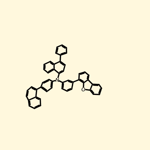 c1ccc(-c2ccc(N(c3ccc(-c4cccc5ccccc45)cc3)c3cccc(-c4cccc5c4oc4ccccc45)c3)c3ccccc23)cc1